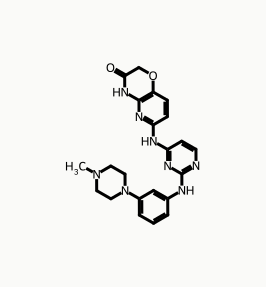 CN1CCN(c2cccc(Nc3nccc(Nc4ccc5c(n4)NC(=O)CO5)n3)c2)CC1